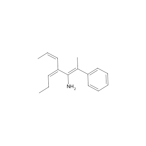 C\C=C/C(=C/CC)C(/N)=C(\C)c1ccccc1